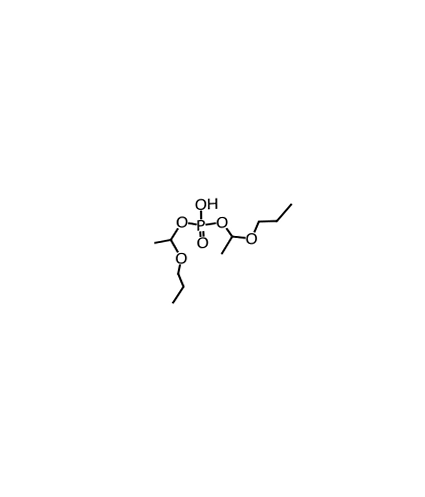 CCCOC(C)OP(=O)(O)OC(C)OCCC